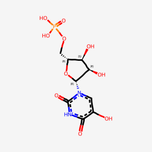 O=c1[nH]c(=O)n([C@@H]2O[C@H](COP(=O)(O)O)[C@@H](O)[C@H]2O)cc1O